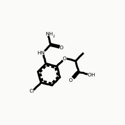 CC(Oc1ccc(Cl)cc1NC(N)=O)C(=O)O